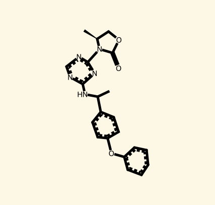 CC(Nc1ncnc(N2C(=O)OC[C@@H]2C)n1)c1ccc(Oc2ccccc2)cc1